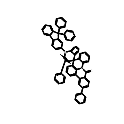 O=c1c2ccc(-c3ccccc3)cc2c2cccc3c2n1-c1ccccc1C31c2ccccc2N(c2ccc3c(c2)C(c2ccccc2)(c2ccccc2)c2ccccc2-3)c2ccc(-c3ccccc3)cc21